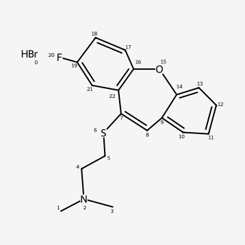 Br.CN(C)CCSC1=Cc2ccccc2Oc2ccc(F)cc21